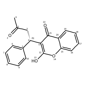 CC(=O)C[C@@H](c1ccccc1)c1c(O)oc2ccccc2c1=O